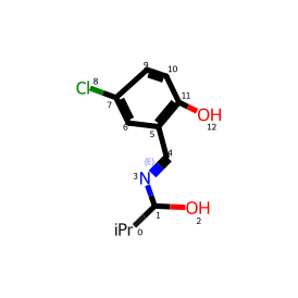 CC(C)C(O)/N=C/c1cc(Cl)ccc1O